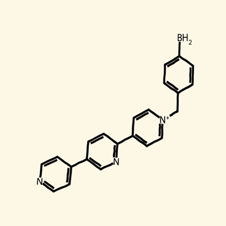 Bc1ccc(C[n+]2ccc(-c3ccc(-c4ccncc4)cn3)cc2)cc1